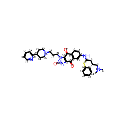 CN(C)CCCC(Nc1ccc2c(c1)C(=O)c1n[n+]([O-])n(CCCN3CCC(c4ccccn4)CC3)c1C2=O)Sc1ccccc1